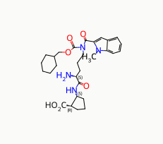 Cn1c(C(=O)N(CCC[C@H](N)C(=O)N[C@H]2CCC[C@H]2C(=O)O)C(=O)OCC2CCCCC2)cc2ccccc21